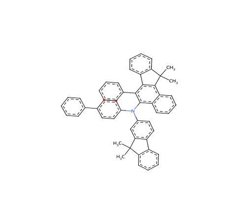 CC1(C)c2ccccc2-c2ccc(N(c3ccc(-c4ccccc4)cc3)c3c(-c4ccccc4)c4c(c5ccccc35)C(C)(C)c3ccccc3-4)cc21